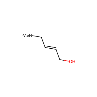 C[N]CC=CCO